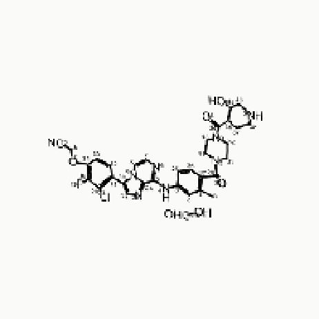 Cc1cc(Nc2nccn3c(-c4ccc(OCC#N)c(F)c4Cl)cnc23)ccc1C(=O)N1CCN(C(=O)[C@@H]2CCNC[C@@H]2O)CC1.O=CO